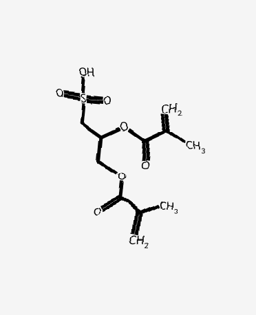 C=C(C)C(=O)OCC(CS(=O)(=O)O)OC(=O)C(=C)C